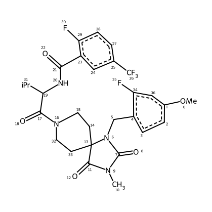 COc1ccc(CN2C(=O)N(C)C(=O)C23CCN(C(=O)C(NC(=O)c2cc(C(F)(F)F)ccc2F)C(C)C)CC3)c(F)c1